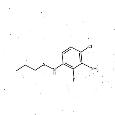 CCCSNc1ccc(Cl)c(N)c1F